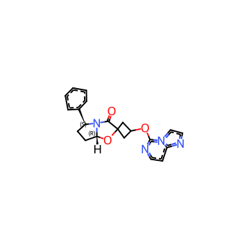 O=C1N2[C@@H](CC[C@H]2c2ccccc2)OC12CC(Oc1nccc3nccn13)C2